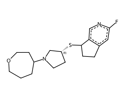 Fc1cc2c(cn1)C(S[C@@H]1CCN(C3CCCOCC3)C1)CC2